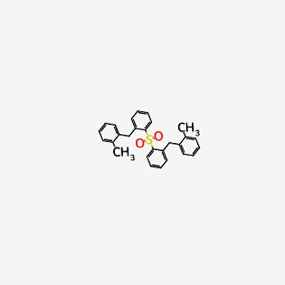 Cc1ccccc1Cc1ccccc1S(=O)(=O)c1ccccc1Cc1ccccc1C